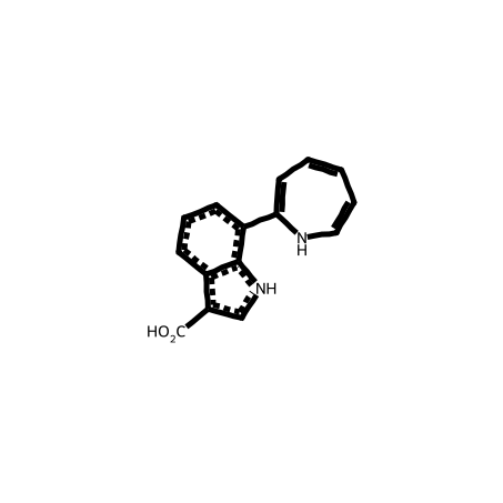 O=C(O)c1c[nH]c2c(C3=CC=CC=CN3)cccc12